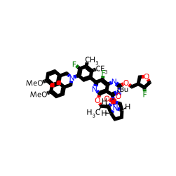 COc1ccc(CN(Cc2ccc(OC)cc2)c2cc(-c3nc4c5c(nc(OCC6COCC6F)nc5c3F)N3C[C@H]5CC[C@@H]([C@H]3[C@H](C)O4)N5C(=O)OC(C)(C)C)c(C(F)(F)F)c(C)c2F)cc1